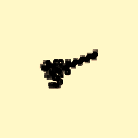 [2H]C([2H])([2H])N(/C(=N\C(=O)OC(C)(C)C)NC(=O)CCCCCCCC=C)C(C(=O)O)C(C)C=C